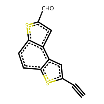 C#Cc1cc2c(ccc3sc(C=O)cc32)s1